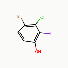 Oc1ccc(Br)c(Cl)c1I